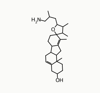 CC1=C2CC3C(CC=C4CC(O)CCC43C)C2CCC12OC(CC(C)CN)C(C)C2C